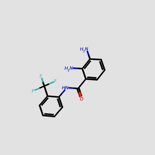 Nc1cccc(C(=O)Nc2ccccc2C(F)(F)F)c1N